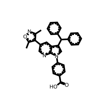 Cc1noc(C)c1-c1cnc2c(c1)c(C(c1ccccc1)c1ccccc1)cn2-c1ccc(C(=O)O)cc1